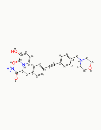 NC(=O)C(Cc1ccc(C#Cc2ccc(CN3CCOCC3)cc2)cc1)n1cccc(O)c1=O